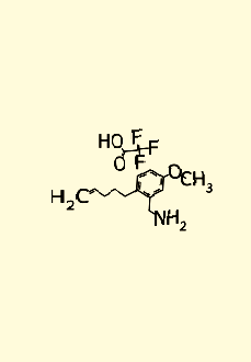 C=CCCCc1ccc(OC)cc1CN.O=C(O)C(F)(F)F